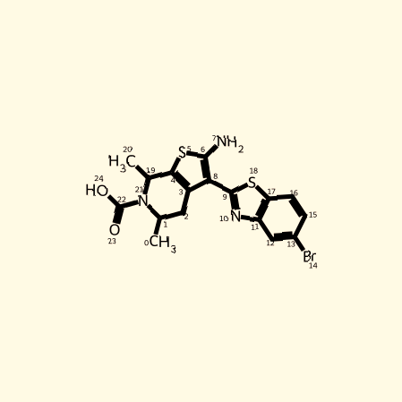 CC1Cc2c(sc(N)c2-c2nc3cc(Br)ccc3s2)C(C)N1C(=O)O